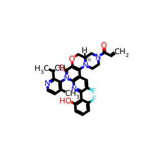 C=CC(=O)N1CCN2c3c(c(=O)n(-c4c(C)ccnc4C(C)C)c4nc(-c5c(O)cccc5F)c(F)cc34)OC[C@@H]2C1